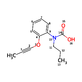 CC#COc1ccccc1N(CCC)C(=O)O